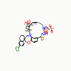 CS(=O)(=O)CCN1CC/C=C\[C@H](O)[C@@H]2CC[C@H]2CN2C[C@@]3(CCCc4cc(Cl)ccc43)COc3ccc(cc32)C(=O)NS1(=O)=O